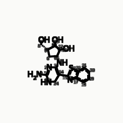 NC1=NC(N[C@@H]2C[C@H](CO)[C@@H](O)[C@H]2O)=C(c2nc3ccccc3s2)CN1